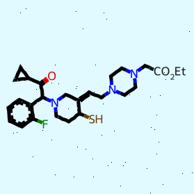 CCOC(=O)CN1CCN(CC=C2CN(C(C(=O)C3CC3)c3ccccc3F)CCC2S)CC1